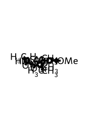 COC1CN(C2CCC(C3(C)Oc4c([Si](C)(C)C)cc(C(=O)NCc5c(SC)cc(C)[nH]c5=O)c(C)c4O3)CC2)C1